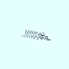 CCCCCCCCCCCCCCCCCC(=O)O.CCCCCCCCCCCCNC(C)C